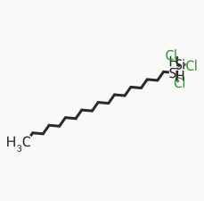 CCCCCCCCCCCCCCCCCC[SiH](Cl)[SiH](Cl)Cl